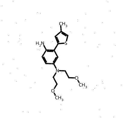 COCCN(CCOC)c1ccc(N)c(-c2cc(C)cs2)c1